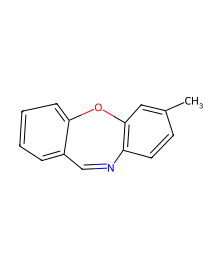 Cc1ccc2c(c1)Oc1ccccc1C=N2